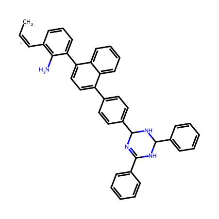 C/C=C\c1cccc(-c2ccc(-c3ccc(C4N=C(c5ccccc5)NC(c5ccccc5)N4)cc3)c3ccccc23)c1N